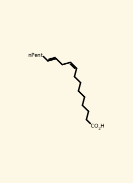 CCCCCC=CC/C=C\CCCCCCCC(=O)O